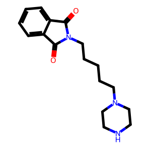 O=C1c2ccccc2C(=O)N1CCCCCN1CCNCC1